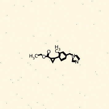 CCOC(=O)C1CC1c1ccc(Cn2ccnc2)cc1C